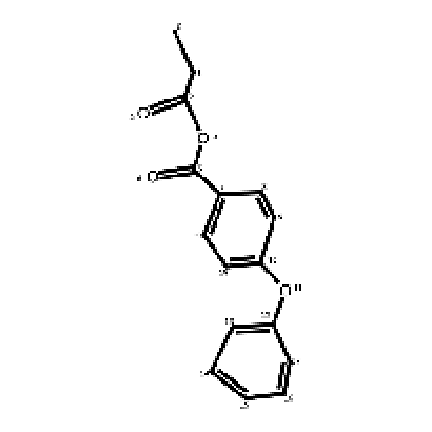 CCC(=O)OC(=O)c1ccc(Oc2ccccc2)cc1